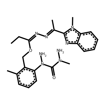 CCC(=NN=C(C)c1nc2ccccc2n1C)OCc1c(C)cccc1N(N)C(=O)N(C)N